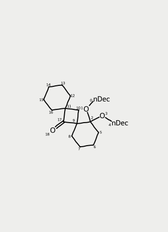 CCCCCCCCCCOC1(OCCCCCCCCCC)CCCCC12CC1(CCCCC1)C2=O